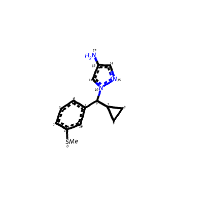 CSc1cccc(C(C2CC2)n2cc(N)cn2)c1